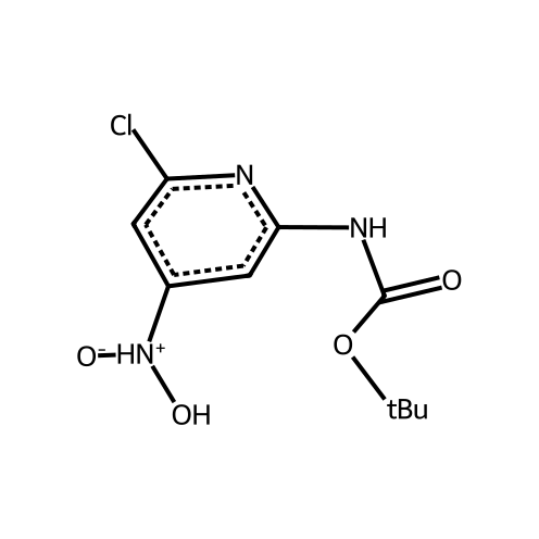 CC(C)(C)OC(=O)Nc1cc([NH+]([O-])O)cc(Cl)n1